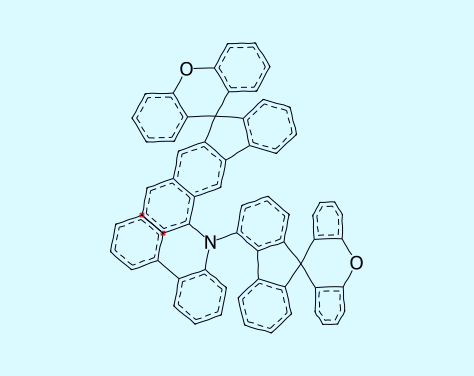 c1ccc(-c2ccccc2N(c2cccc3c2-c2ccccc2C32c3ccccc3Oc3ccccc32)c2cccc3cc4c(cc23)-c2ccccc2C42c3ccccc3Oc3ccccc32)cc1